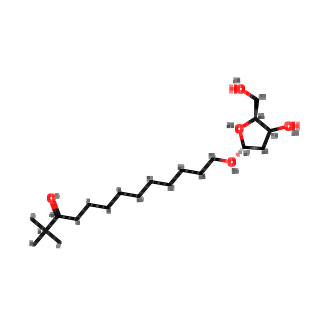 CC(C)(C)C(=O)CCCCCCCCCCO[C@H]1CC(O)[C@H](CO)O1